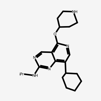 CC(C)Nc1ncc2c(OC3CCNCC3)ncc(C3CCCCC3)c2n1